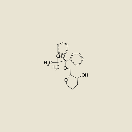 CC(C)(C)[Si](OCC1OCCCC1O)(c1ccccc1)c1ccccc1